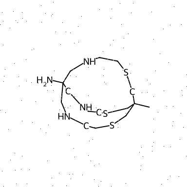 CC12CSCCNCC(N)(CNCCSC1)CNCCSC2